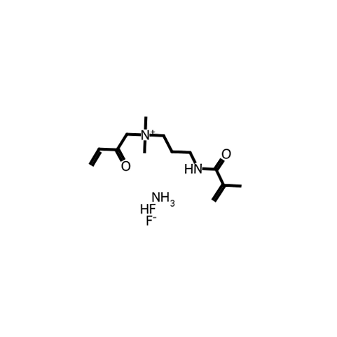 C=CC(=O)C[N+](C)(C)CCCNC(=O)C(=C)C.F.N.[F-]